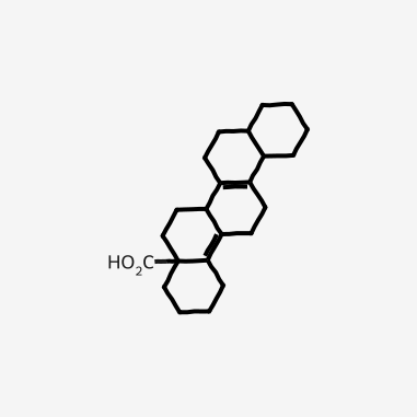 O=C(O)C12CCCCC1=C1CCC3=C(CCC4CCCCC34)C1CC2